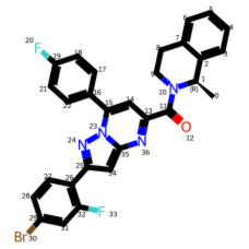 C[C@@H]1c2ccccc2CCN1C(=O)c1cc(-c2ccc(F)cc2)n2nc(-c3ccc(Br)cc3F)cc2n1